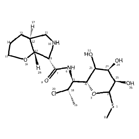 CSC1O[C@H]([C@H](NC(=O)[C@H]2NC[C@@H]3CCCO[C@H]32)[C@H](C)Cl)C(O)[C@@H](O)[C@H]1O